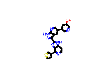 Oc1cncc(-c2cnc3[nH]nc(-c4nc5c(-c6ccsc6)nccc5[nH]4)c3c2)c1